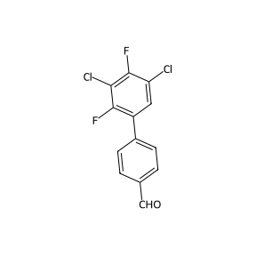 O=Cc1ccc(-c2cc(Cl)c(F)c(Cl)c2F)cc1